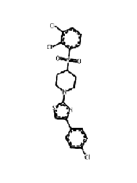 O=S(=O)(c1cccc(Cl)c1Cl)C1CCN(c2nc(-c3ccc(Cl)cc3)cs2)CC1